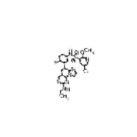 CCNc1ncc2cc(-c3cc(NS(=O)(=O)c4cc(Cl)cnc4OC)ccc3F)c3nccn3c2n1